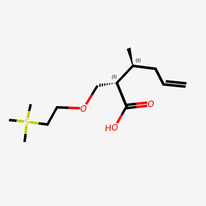 C=CC[C@H](C)[C@@H](COCCS(C)(C)C)C(=O)O